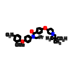 COc1cc([N+](=O)[O-])ccc1Oc1ccc(N(CC(C)C)C(=O)c2ccc(OC3CCN(CC(C)(C)C(=O)O)CC3)cc2)cc1